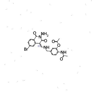 CC(=O)Nc1ccc(CN/C=C2\C(=O)N(N)C(=O)c3ccc(Br)cc32)cc1OC(C)=O